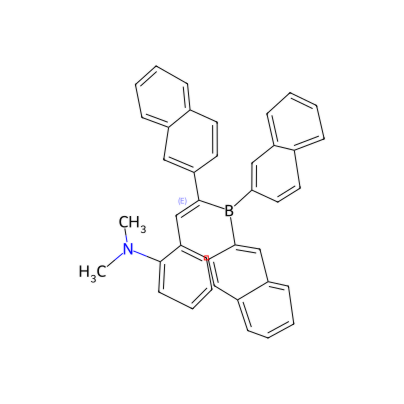 CN(C)c1ccccc1/C=C(\B(c1ccc2ccccc2c1)c1ccc2ccccc2c1)c1ccc2ccccc2c1